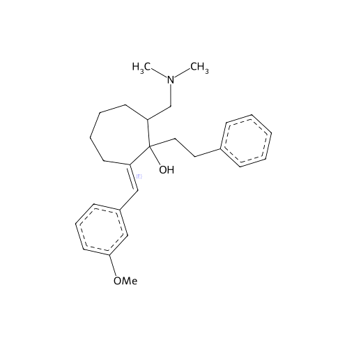 COc1cccc(/C=C2\CCCCC(CN(C)C)C2(O)CCc2ccccc2)c1